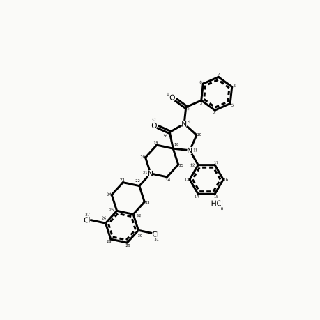 Cl.O=C(c1ccccc1)N1CN(c2ccccc2)C2(CCN(C3CCc4c(Cl)ccc(Cl)c4C3)CC2)C1=O